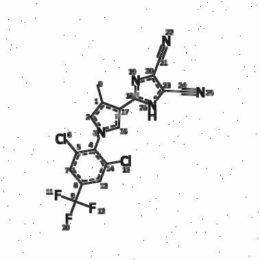 Cc1cn(-c2c(Cl)cc(C(F)(F)F)cc2Cl)cc1-c1nc(C#N)c(C#N)[nH]1